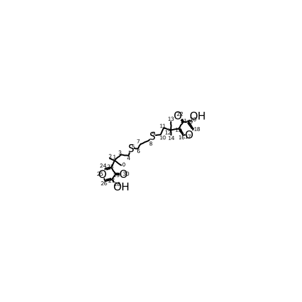 CC(C)(CCSCCCSCCC(C)(C)c1cocc(O)c1=O)c1cocc(O)c1=O